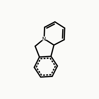 C1=CC2c3ccccc3CN2C=C1